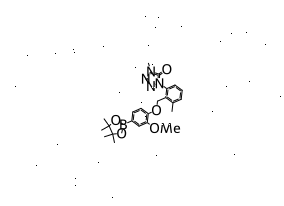 COc1cc(B2OC(C)(C)C(C)(C)O2)ccc1OCc1c(C)cccc1-n1nnn(C)c1=O